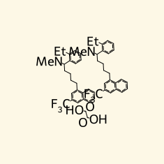 CCc1ccccc1C(CCCCc1cc(C(F)(F)F)cc2ccccc12)NC.CCc1ccccc1C(CCCCc1cc(C(F)(F)F)cc2ccccc12)NC.O=C(O)C(=O)O